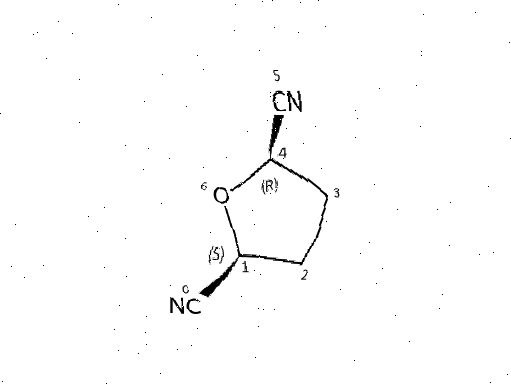 N#C[C@@H]1CC[C@H](C#N)O1